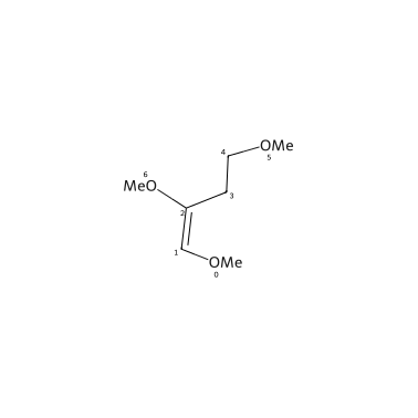 COC=C(CCOC)OC